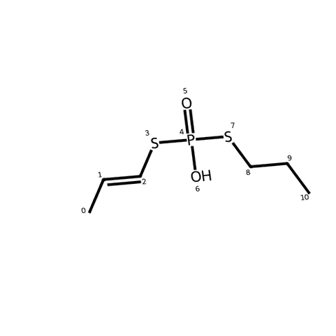 CC=CSP(=O)(O)SCCC